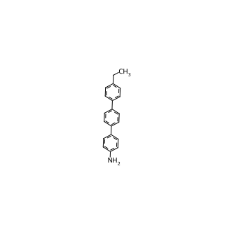 CCc1ccc(-c2ccc(-c3ccc(N)cc3)cc2)cc1